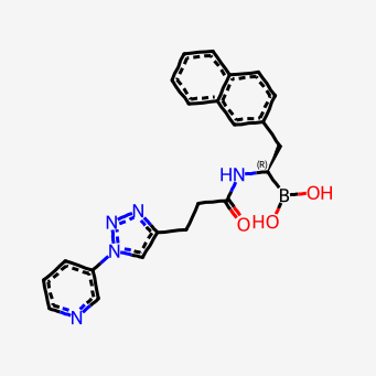 O=C(CCc1cn(-c2cccnc2)nn1)N[C@@H](Cc1ccc2ccccc2c1)B(O)O